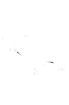 CC(=O)N[C@@H]1CN[C@H](CO)C1